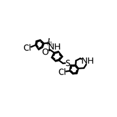 C[C@@H](NC(=O)c1ccc(CSc2c(Cl)ccc3c2CCNCC3)cc1)c1ccc(Cl)cc1